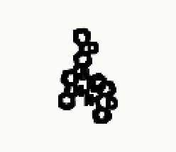 c1ccc(-n2c3cc4oc5ccccc5c4cc3c3ccc4c5ccccc5n(-c5nc6c7c(cccc7n5)Oc5ccccc5-6)c4c32)cc1